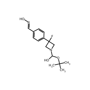 CC(C)(C)OC(O)N1CC(F)(c2ccc(/C=N/O)cc2)C1